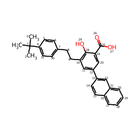 CC(C)(C)c1ccc(CCc2cc(-c3ccc4ccccc4c3)cc(C(=O)O)c2O)cc1